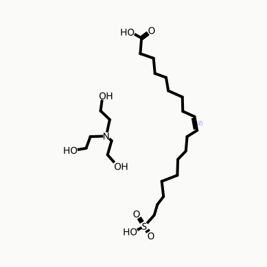 O=C(O)CCCCCCC/C=C\CCCCCCCCS(=O)(=O)O.OCCN(CCO)CCO